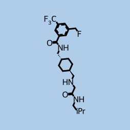 CC(C)CNC(=O)CNC[C@H]1CC[C@H](CNC(=O)c2cc(CF)cc(C(F)(F)F)c2)CC1